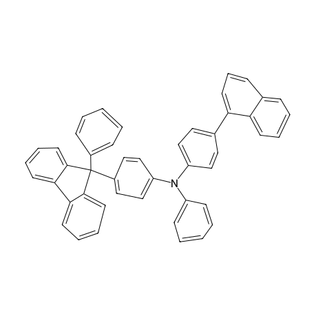 c1ccc(N(c2ccc(-c3cccc4ccccc34)cc2)c2ccc(C3(c4ccccc4)c4ccccc4-c4ccccc43)cc2)cc1